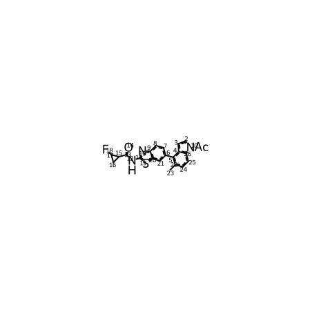 CC(=O)n1ccc2c(-c3ccc4nc(NC(=O)C5CC5F)sc4c3)c(C)ccc21